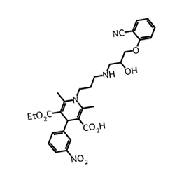 CCOC(=O)C1=C(C)N(CCCNCC(O)COc2ccccc2C#N)C(C)=C(C(=O)O)C1c1cccc([N+](=O)[O-])c1